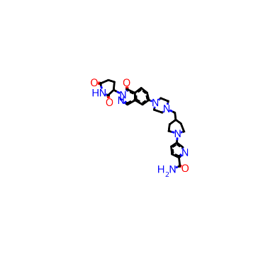 NC(=O)c1ccc(N2CCC(CN3CCN(c4ccc5c(=O)n(C6CCC(=O)NC6=O)ncc5c4)CC3)CC2)cn1